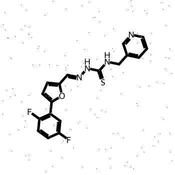 Fc1ccc(F)c(-c2ccc(C=NNC(=S)NCc3cccnc3)o2)c1